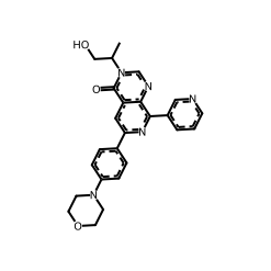 CC(CO)n1cnc2c(-c3cccnc3)nc(-c3ccc(N4CCOCC4)cc3)cc2c1=O